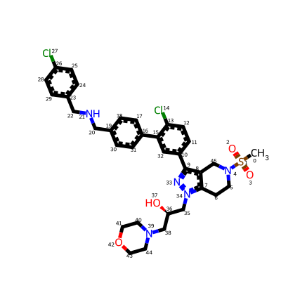 CS(=O)(=O)N1CCc2c(c(-c3ccc(Cl)c(-c4ccc(CNCc5ccc(Cl)cc5)cc4)c3)nn2C[C@H](O)CN2CCOCC2)C1